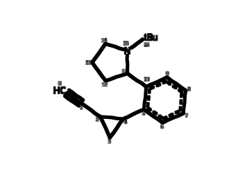 C#CC1CC1c1ccccc1C1CCCN1C(C)(C)C